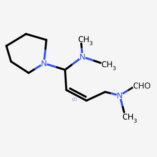 CN(C=O)C/C=C\C(N(C)C)N1CCCCC1